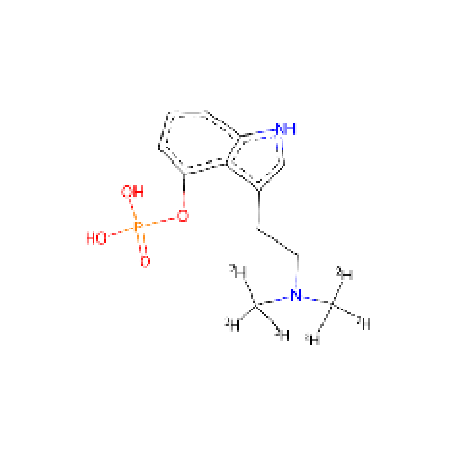 [2H]C([2H])([2H])N(CCc1c[nH]c2cccc(OP(=O)(O)O)c12)C([2H])([2H])[2H]